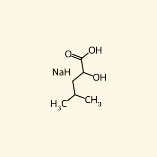 CC(C)CC(O)C(=O)O.[NaH]